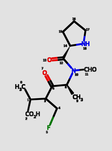 CC(C(=O)O)C(CF)C(=O)[C@H](C)N(C=O)C(=O)[C@@H]1CCCN1